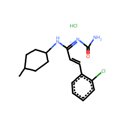 CC1CCC(NC(/C=C/c2ccccc2Cl)=N/C(N)=O)CC1.Cl